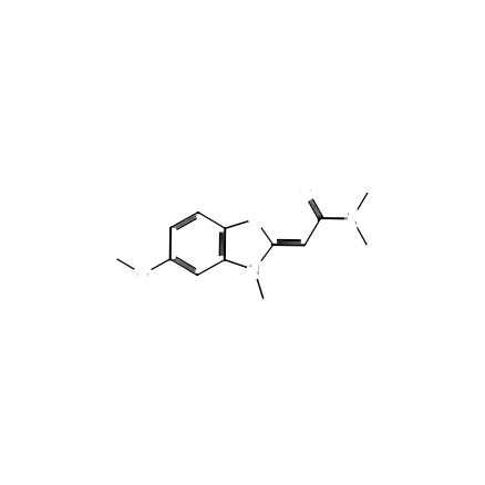 COc1ccc2c(c1)N(C)/C(=C/C(=O)N(C)C)S2